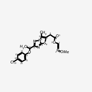 CON=COC(=O)Cc1sc2nc(C(C)Oc3ccc(Cl)cc3)nn2c1C